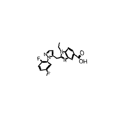 CCn1c(Cc2ccnn2-c2cc(F)ccc2F)nc2cc(C(=O)O)ccc21